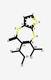 C=C1Sc2ccsc2SC(C(C)C)=C1C(C)CC